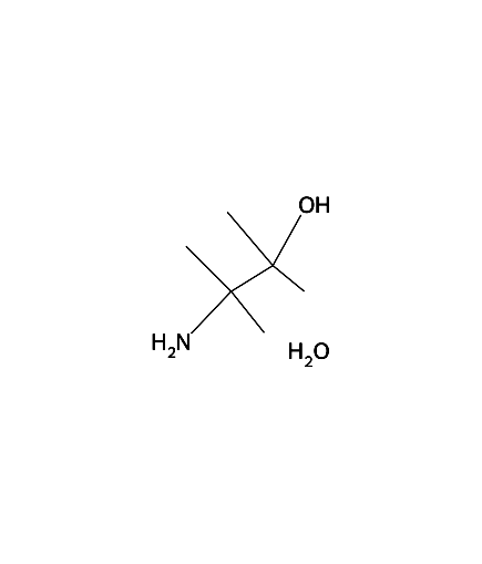 CC(C)(N)C(C)(C)O.O